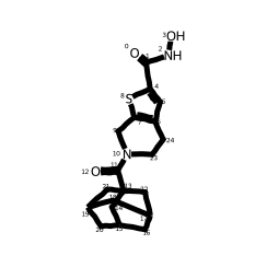 O=C(NO)c1cc2c(s1)CN(C(=O)C13CC4CC(CC(C4)C1)C3)CC2